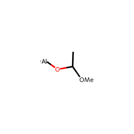 COC(C)[O][Al]